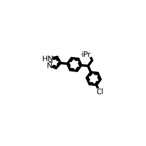 C[C](C)CC(c1ccc(Cl)cc1)c1ccc(-c2cn[nH]c2)cc1